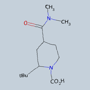 CN(C)C(=O)C1CCN(C(=O)O)C(C(C)(C)C)C1